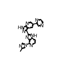 Cc1cn(-c2nccc3[nH]c(-c4n[nH]c5ncc(-c6cnccn6)cc45)nc23)cn1